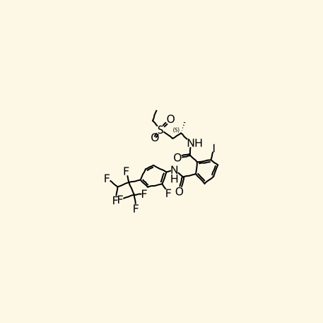 CCS(=O)(=O)C[C@H](C)NC(=O)c1c(I)cccc1C(=O)Nc1ccc(C(F)(C(F)F)C(F)(F)F)cc1F